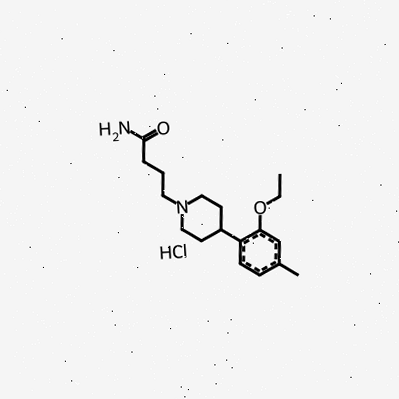 CCOc1cc(C)ccc1C1CCN(CCCC(N)=O)CC1.Cl